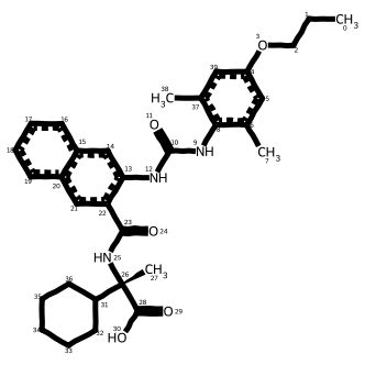 CCCOc1cc(C)c(NC(=O)Nc2cc3ccccc3cc2C(=O)N[C@](C)(C(=O)O)C2CCCCC2)c(C)c1